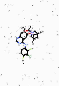 COc1cc2ncnc(Nc3ccc(F)c(Cl)c3F)c2cc1O[C@H]1[C@@H]2C[C@H]1CN(C(=O)C(F)(F)F)C2